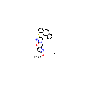 O=C(O)Oc1cccc(Cn2cc(C3c4ccccc4C=Cc4ccccc43)c(=S)[nH]c2=O)n1